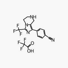 N#Cc1ccc(-c2nc(C(F)(F)F)n3c2CNCC3)cc1.O=C(O)C(F)(F)F